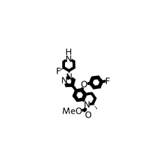 COC(=O)N1c2ccc(-c3cnn([C@H]4CCNC[C@H]4F)c3)c(Oc3ccc(F)cc3)c2CC[C@@H]1C